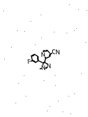 Cn1cnc(-c2cc(C#N)ccn2)c1-c1cccc(F)c1